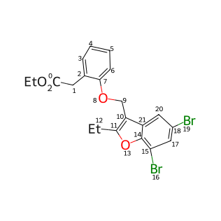 CCOC(=O)Cc1ccccc1OCc1c(CC)oc2c(Br)cc(Br)cc12